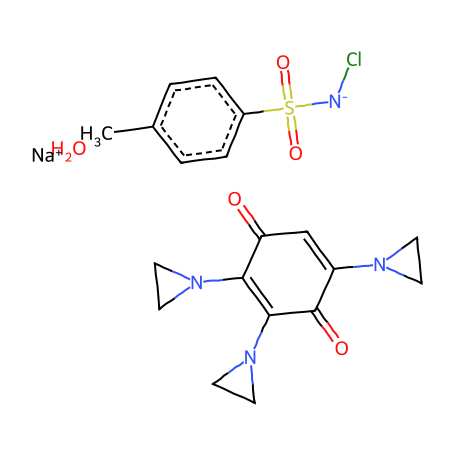 Cc1ccc(S(=O)(=O)[N-]Cl)cc1.O.O=C1C=C(N2CC2)C(=O)C(N2CC2)=C1N1CC1.[Na+]